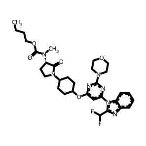 CCCCOC(=O)N(C)[C@H]1CCN(C2CCC(Oc3cc(-n4c(C(F)F)nc5ccccc54)nc(N4CCOCC4)n3)CC2)C1=O